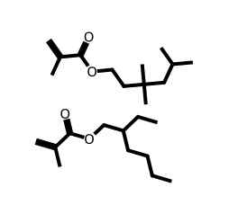 C=C(C)C(=O)OCC(CC)CCCC.C=C(C)C(=O)OCCC(C)(C)CC(C)C